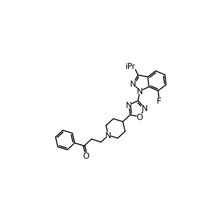 CC(C)c1nn(-c2noc(C3CCN(CCC(=O)c4ccccc4)CC3)n2)c2c(F)cccc12